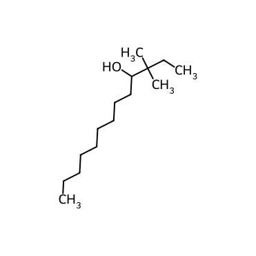 CCCCCCCCCC(O)C(C)(C)CC